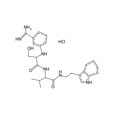 CC(C)C(NC(=O)C(CO)Nc1cccc(C(=N)N)c1)C(=O)NCCc1c[nH]c2ccccc12.Cl